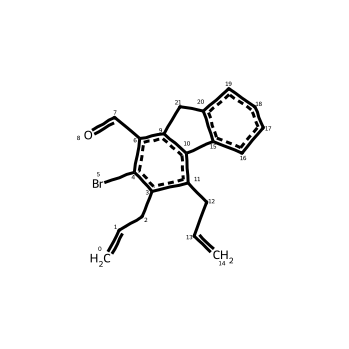 C=CCc1c(Br)c(C=O)c2c(c1CC=C)-c1ccccc1C2